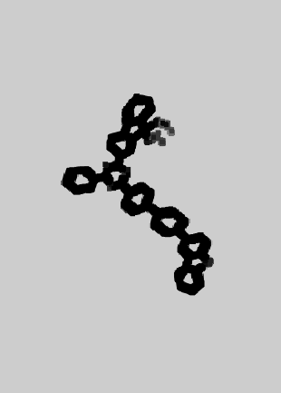 CC1(C)c2ccccc2-c2ccc(-c3nc(-c4ccccc4)nc(-c4ccc(-c5ccc(-c6ccc7oc8ccccc8c7c6)cc5)cc4)n3)cc21